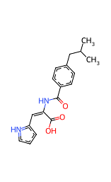 CC(C)Cc1ccc(C(=O)NC(=Cc2ccc[nH]2)C(=O)O)cc1